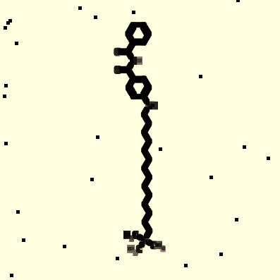 C[Si](C)(C)CCCCCCCCCCCCCCNc1ccc(C(=O)NC(=O)c2ccccc2)cc1